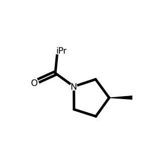 CC(C)C(=O)N1CC[C@H](C)C1